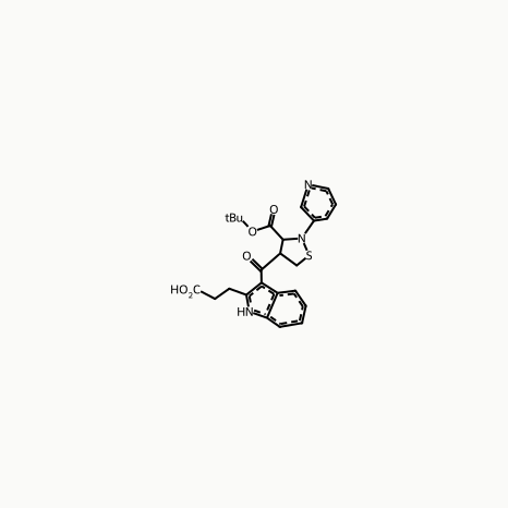 CC(C)(C)OC(=O)C1C(C(=O)c2c(CCC(=O)O)[nH]c3ccccc23)CSN1c1cccnc1